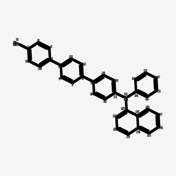 Brc1ccc(-c2ccc(-c3ccc(N(c4ccccc4)c4cccc5ccccc45)cc3)cc2)cc1